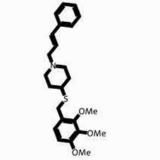 COc1ccc(CSC2CCN(CC=Cc3ccccc3)CC2)c(OC)c1OC